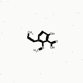 C=Nc1c(/C=C\C)ccc(O)c1C(=O)O